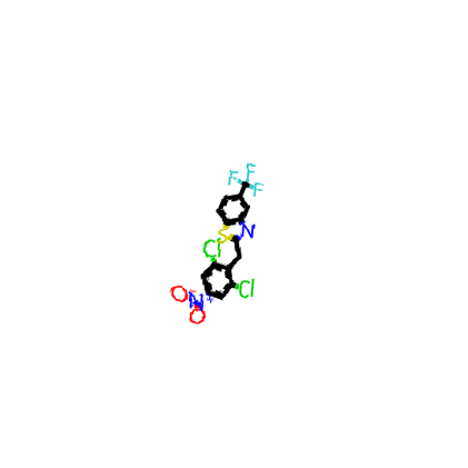 O=[N+]([O-])c1cc(Cl)c(Cc2nc3cc(C(F)(F)F)ccc3s2)c(Cl)c1